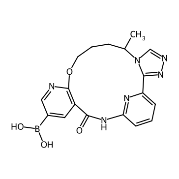 CC1CCCOc2ncc(B(O)O)cc2C(=O)Nc2cccc(n2)-c2nncn21